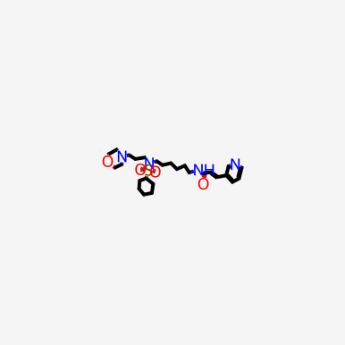 O=C(C=Cc1cccnc1)NCCCCCCN(CCCN1CCOCC1)S(=O)(=O)C1CCCCC1